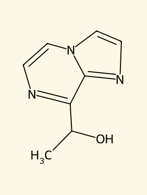 CC(O)c1nccn2ccnc12